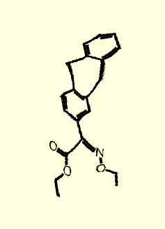 CCON=C(C(=O)OCC)c1ccc2c(c1)Cc1ccccc1C2